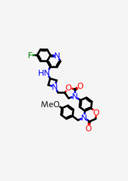 COc1ccc(CN2C(=O)COc3ccc(N4CC(CN5CC(Nc6ccnc7ccc(F)cc67)C5)OC4=O)cc32)cc1